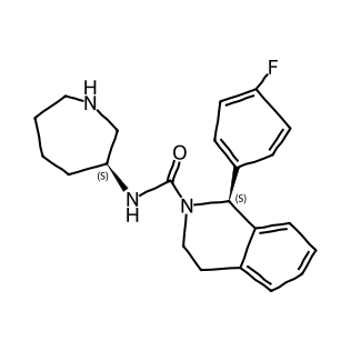 O=C(N[C@H]1CCCCNC1)N1CCc2ccccc2[C@@H]1c1ccc(F)cc1